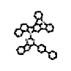 c1ccc(-c2ccc(-c3nc(-n4c5cc6c7ccccc7n7c8ccccc8c(c5c5ccc8ccccc8c54)c67)nc4c3sc3ccccc34)cc2)cc1